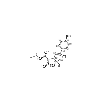 CCOC(=O)C1C(=O)OC(C)(C)C1C=C(Cl)c1ccc(F)cc1